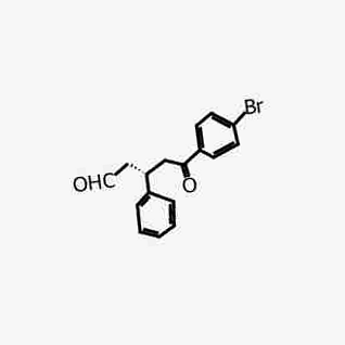 O=CC[C@H](CC(=O)c1ccc(Br)cc1)c1ccccc1